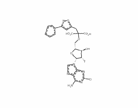 Nc1nc(Cl)nc2c1ncn2[C@@H]1O[C@H](COC(Cc2cc(-c3ccccc3)no2)(C(=O)O)C(=O)O)[C@@H](O)[C@@H]1F